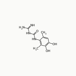 Cc1cc(O)c(O)c(C)c1NC(=O)NC(=N)N